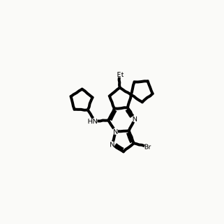 CCC1Cc2c(nc3c(Br)cnn3c2NC2CCCC2)C12CCCC2